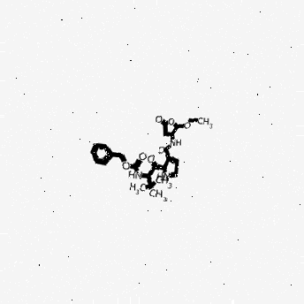 CCOC1OC(=O)CC1NC(=O)C1CCNC1C(=O)C(NC(=O)OCc1ccccc1)C(C)(C)C